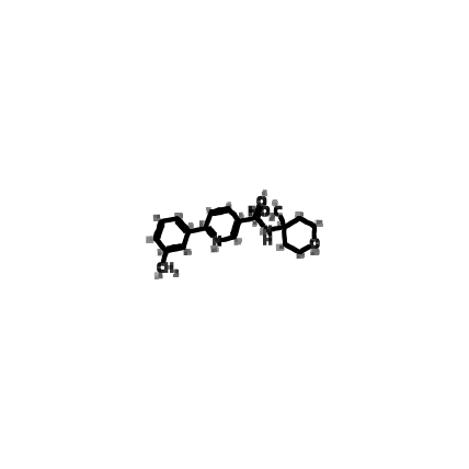 CCOC(=O)C1(NC(=O)c2ccc(-c3cccc(C)c3)nc2)CCOCC1